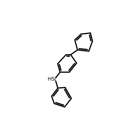 c1ccc([SiH]c2ccc(-c3ccccc3)cc2)cc1